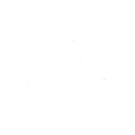 COc1nc(C)ccc1Cn1cnc(C(F)(F)C(F)(F)F)c(Oc2cc(Cl)cc(C#N)c2F)c1=O